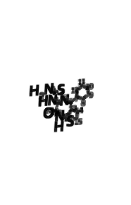 NC(=S)NC1N=C(c2ccccc2)c2ccsc2NC1=O